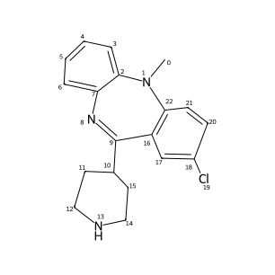 CN1c2ccccc2N=C(C2CCNCC2)c2cc(Cl)ccc21